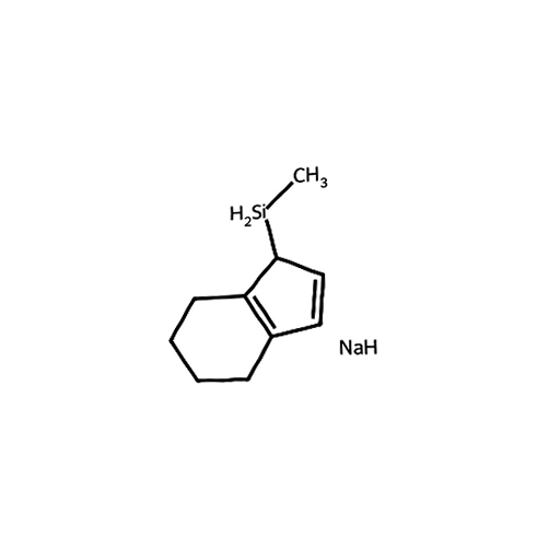 C[SiH2]C1C=CC2=C1CCCC2.[NaH]